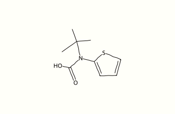 CC(C)(C)N(C(=O)O)c1cccs1